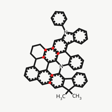 CC1(C)c2ccccc2-c2c(N(c3ccccc3-c3cccc4cccc(C5CCCCC5)c34)c3ccccc3-c3cccc4c3c3ccccc3n4-c3ccccc3)cccc21